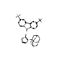 CC(C)(C)c1ccc2c(c1)-c1cc(C(C)(C)C)ccc1[CH]2[Zr+2][C]1=C(C23CC4CC(CC(C4)C2)C3)C=CC1.[Cl-].[Cl-]